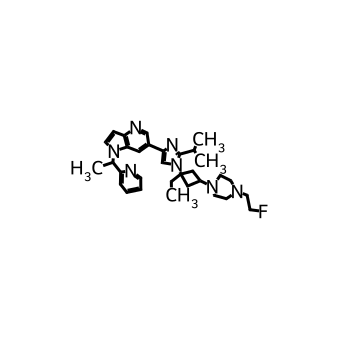 CCC1(n2cc(-c3cnc4ccn(C(C)c5ccccn5)c4c3)nc2C(C)C)CC(N2CCN(CCF)CC2)C1